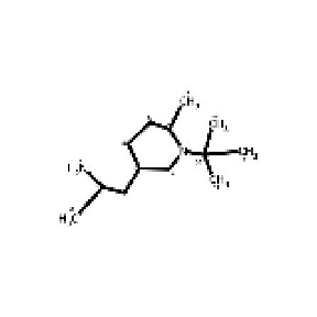 CC(N)CC1CCC(C)N(C(C)(C)C)C1